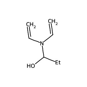 C=CN(C=C)C(O)CC